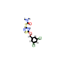 CN(C)C(=O)Sc1nsc(OCc2cc(Cl)cc(Cl)c2)n1